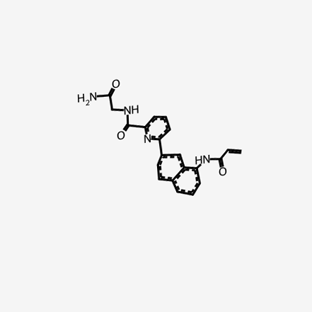 C=CC(=O)Nc1cccc2ccc(-c3cccc(C(=O)NCC(N)=O)n3)cc12